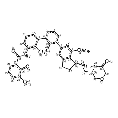 COc1nc(-c2cccc(-c3cccc(NC(=O)c4ccnn(C)c4=O)c3C)c2Cl)cc2c1[C@@H](NC[C@@H]1COCC(=O)N1)CC2